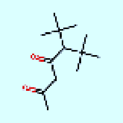 CC(=O)CC(=O)C(C(C)(C)C)C(C)(C)C